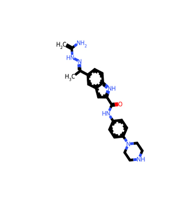 C=C(N)N/N=C(\C)c1ccc2[nH]c(C(=O)Nc3ccc(N4CCNCC4)cc3)cc2c1